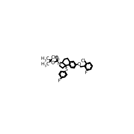 CC(C)(C)OC(=O)N1CCC2(Sc3ccc(F)cc3)c3ccc(OCc4c(F)cccc4Cl)cc3CCC12